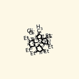 CCc1cc(CC)cc([Si](c2cc(CC)cc(CC)c2)(c2cc(CC)cc(CC)c2)[C]2([Ti+3])C=C(C)C=C2C)c1.[Cl-].[Cl-].[Cl-]